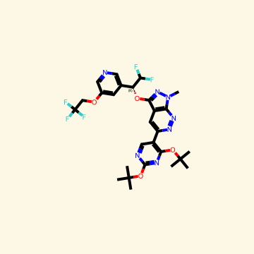 Cn1nc(O[C@H](c2cncc(OCC(F)(F)F)c2)C(F)F)c2cc(-c3cnc(OC(C)(C)C)nc3OC(C)(C)C)nnc21